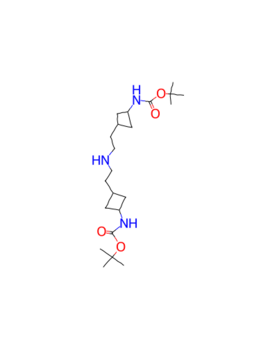 CC(C)(C)OC(=O)NC1CC(CCNCCC2CC(NC(=O)OC(C)(C)C)C2)C1